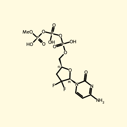 COP(=O)(O)OP(=O)(O)OP(=O)(O)OC[C@@H]1CC(F)(F)[C@H](n2ccc(N)nc2=O)O1